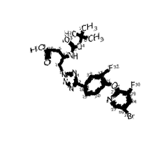 CC(C)(C)OC(=O)NC(CC(=O)O)Cn1nnc(-c2ccc(Oc3ncc(Br)cc3F)c(F)c2)n1